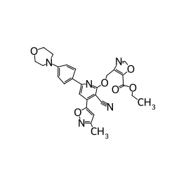 CCOC(=O)c1ocnc1COc1nc(-c2ccc(N3CCOCC3)cc2)cc(-c2cc(C)no2)c1C#N